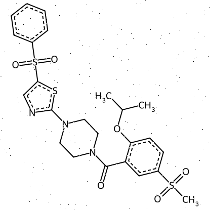 CC(C)Oc1ccc(S(C)(=O)=O)cc1C(=O)N1CCN(c2ncc(S(=O)(=O)c3ccccc3)s2)CC1